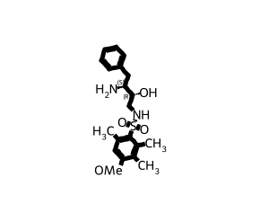 COc1cc(C)c(S(=O)(=O)NC[C@@H](O)[C@@H](N)Cc2ccccc2)c(C)c1C